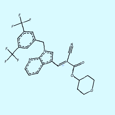 N#C/C(=C\c1cn(Cc2cc(C(F)(F)F)cc(C(F)(F)F)c2)c2ncccc12)C(=O)OC1CCOCC1